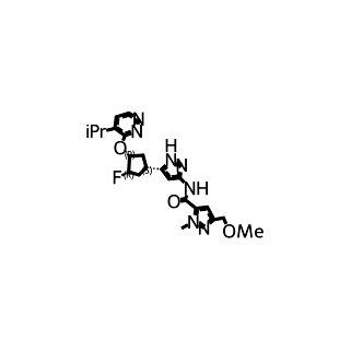 COCc1cc(C(=O)Nc2cc([C@@H]3C[C@@H](F)[C@H](Oc4nnccc4C(C)C)C3)[nH]n2)n(C)n1